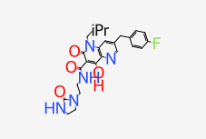 CC(C)Cn1c(=O)c(C(=O)NCCN2CCNC2=O)c(O)c2ncc(Cc3ccc(F)cc3)cc21